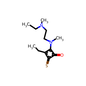 CCc1c(N(C)CCN(C)CC)c(=O)c1=S